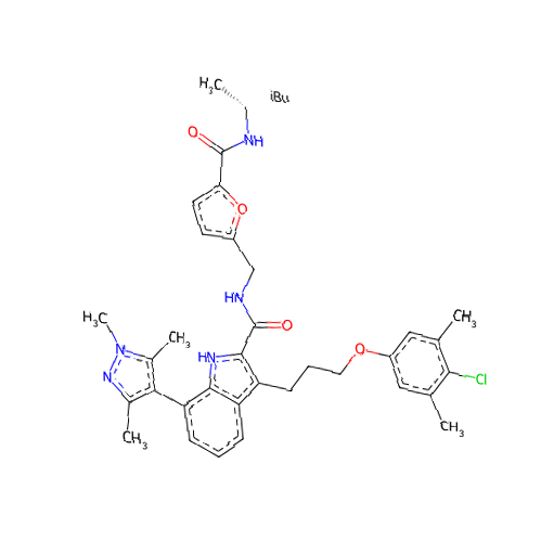 CC[C@H](C)[C@@H](C)NC(=O)c1ccc(CNC(=O)c2[nH]c3c(-c4c(C)nn(C)c4C)cccc3c2CCCOc2cc(C)c(Cl)c(C)c2)o1